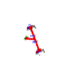 CC1(C)O[C@@H]2[C@H](O1)[C@@H](Nc1nccc(C(F)(F)F)n1)CO[C@@H]2COCCOCCOCCOCCNC(=O)CCOCC(COCCC(=O)NCCOCCOCCOCCOC[C@H]1OC[C@H](Nc2nccc(C(F)(F)F)n2)[C@H]2OC(C)(C)O[C@H]21)NC(=O)COCCOCCOCC(=O)Oc1c(F)c(F)cc(F)c1F